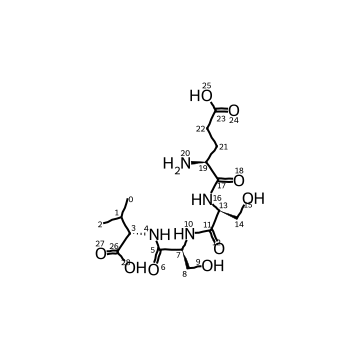 CC(C)[C@H](NC(=O)[C@H](CO)NC(=O)[C@H](CO)NC(=O)[C@@H](N)CCC(=O)O)C(=O)O